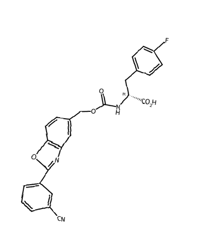 N#Cc1cccc(-c2nc3cc(COC(=O)N[C@H](Cc4ccc(F)cc4)C(=O)O)ccc3o2)c1